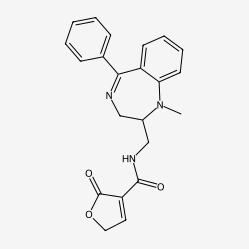 CN1c2ccccc2C(c2ccccc2)=NCC1CNC(=O)C1=CCOC1=O